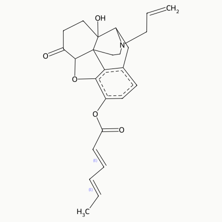 C=CCN1CCC23c4c5ccc(OC(=O)/C=C/C=C/C)c4OC2C(=O)CCC3(O)C1C5